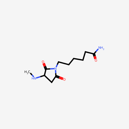 CNC1CC(=O)N(CCCCCC(N)=O)C1=O